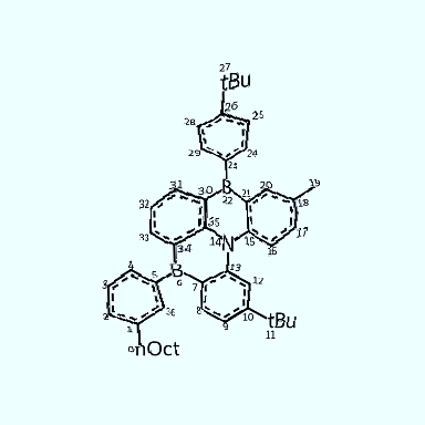 CCCCCCCCc1cccc(B2c3ccc(C(C)(C)C)cc3N3c4ccc(C)cc4B(c4ccc(C(C)(C)C)cc4)c4cccc2c43)c1